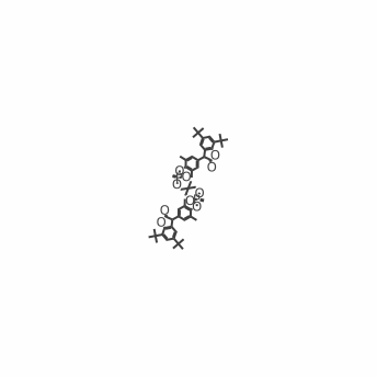 C=P1(Oc2c(C)cc(C3C(=O)Oc4c3cc(C(C)(C)C)cc4C(C)(C)C)cc2C)OCC2(CO1)COP(=C)(Oc1c(C)cc(C3C(=O)Oc4c3cc(C(C)(C)C)cc4C(C)(C)C)cc1C)OC2